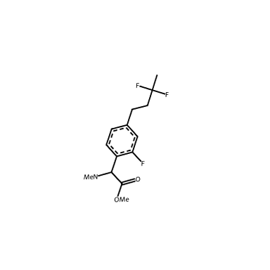 CNC(C(=O)OC)c1ccc(CCC(C)(F)F)cc1F